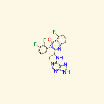 CCC(Nc1ncnc2[nH]cnc12)c1nc2cccc(F)c2c(=O)n1-c1cccc(F)c1F